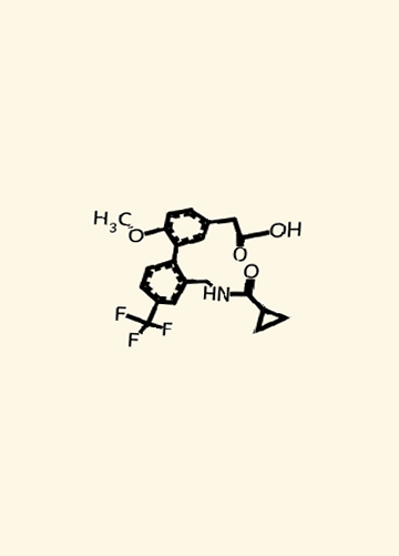 COc1ccc(CC(=O)O)cc1-c1ccc(C(F)(F)F)cc1CNC(=O)C1CC1